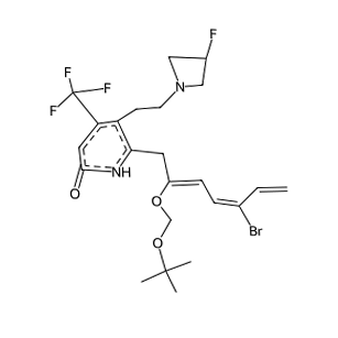 C=C/C(Br)=C\C=C(Cc1[nH]c(=O)cc(C(F)(F)F)c1CCN1CC(F)C1)OCOC(C)(C)C